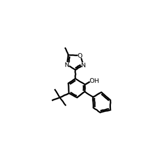 Cc1nc(-c2cc(C(C)(C)C)cc(-c3ccccc3)c2O)no1